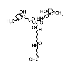 C=C[C@H]1CC[C@H](O)[C@H](OCCNC(=O)CN(CC(=O)NCCCCCC(=O)NCCCCCC=O)CC(=O)NCCO[C@@H]2O[C@@H](C=C)CC[C@@H]2O)O1